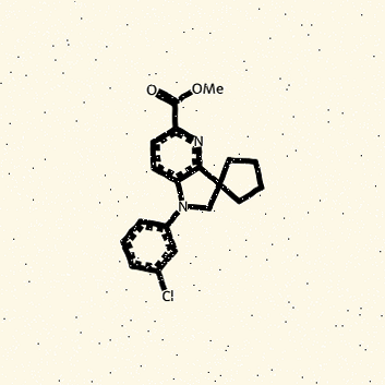 COC(=O)c1ccc2c(n1)C1(CCCC1)CN2c1cccc(Cl)c1